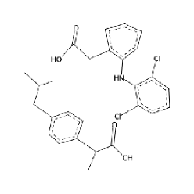 CC(C)Cc1ccc(C(C)C(=O)O)cc1.O=C(O)Cc1ccccc1Nc1c(Cl)cccc1Cl